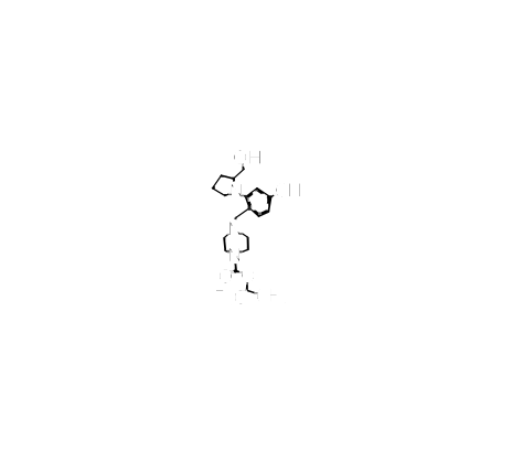 Cc1ccc(CN2CCN(C(=O)OC(C(F)(F)F)C(F)(F)F)CC2)c(N2CCCC2CO)c1